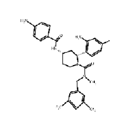 Cc1cc(F)ccc1[C@H]1C[C@@H](NC(=O)c2ccc(N)cc2)CCN1C(=O)N(C)Cc1cc(C(F)(F)F)cc(C(F)(F)F)c1